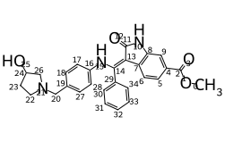 COC(=O)c1ccc2c(c1)NC(=O)/C2=C(\Nc1ccc(CN2CCC(O)C2)cc1)c1ccccc1